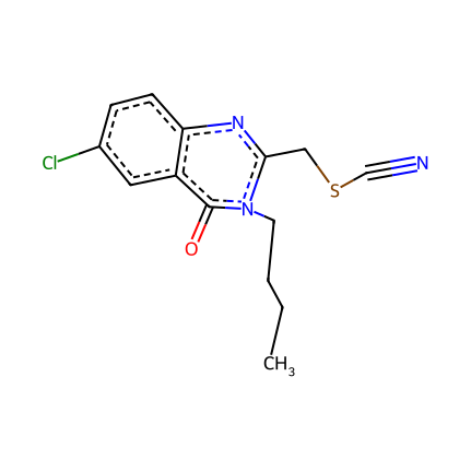 CCCCn1c(CSC#N)nc2ccc(Cl)cc2c1=O